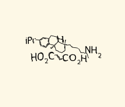 CC(N)CCCC[C@]1(C)CCC[C@]2(C)c3ccc(C(C)C)cc3CC[C@@H]12.O=C(O)/C=C/C(=O)O